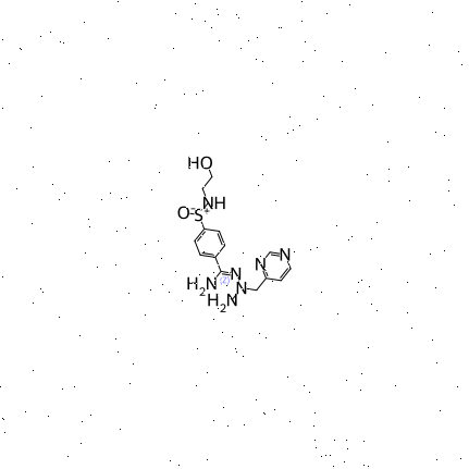 N/C(=N\N(N)Cc1ccncn1)c1ccc([S+]([O-])NCCO)cc1